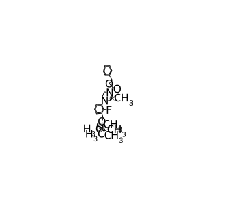 C[C@@H]1CN(c2cccc(CO[Si](C)(C)C(C)(C)C)c2F)CCN1C(=O)OCc1ccccc1